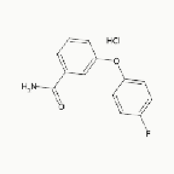 Cl.NC(=O)c1cccc(Oc2ccc(F)cc2)c1